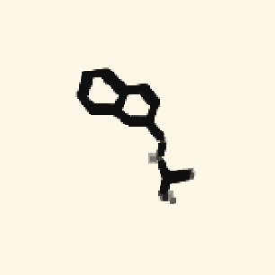 NC(=O)NSc1ccc2ccccc2c1